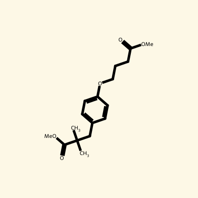 COC(=O)CCCOc1ccc(CC(C)(C)C(=O)OC)cc1